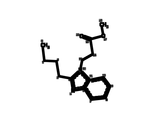 CCCCc1nc2ccccc2n1CCC(=O)OC